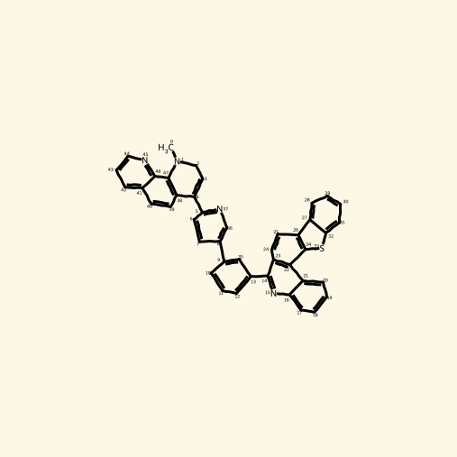 CN1CC=C(c2ccc(-c3cccc(-c4nc5ccccc5c5c4ccc4c6ccccc6sc45)c3)cn2)c2ccc3cccnc3c21